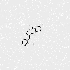 Cc1ccccc1/C=C1\CCn2c1nc1ccc(N)cc1c2=O